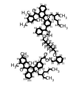 CCCCC(CC)Cn1c2ccc(CC(=O)O/N=C/c3ccccc3OCC(F)(F)C(F)(F)C(F)(F)C(F)(F)COc3ccccc3/C(=N\O)c3ccc4c(c3)c3cc(C(=O)c5c(C)cc(C)cc5C)c5ccccc5c3n4CC(CC)CCCC)cc2c2cc(C(=O)c3c(C)cc(C)cc3C)c3ccccc3c21